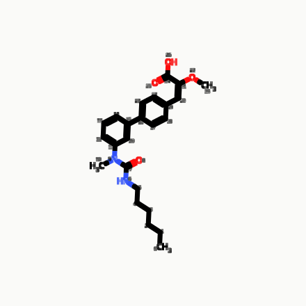 CCCCCCNC(=O)N(C)c1cccc(-c2ccc(/C=C(/OC)C(=O)O)cc2)c1